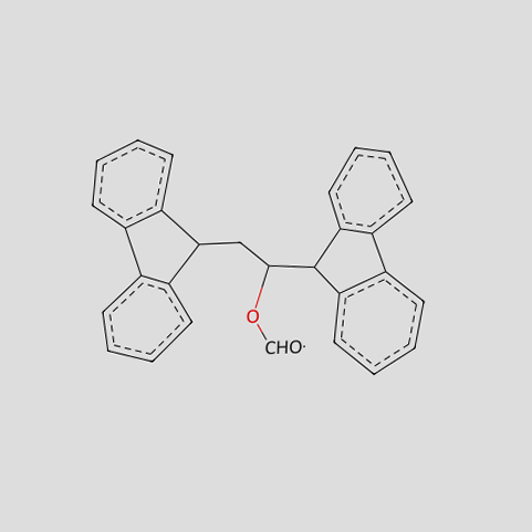 O=[C]OC(CC1c2ccccc2-c2ccccc21)C1c2ccccc2-c2ccccc21